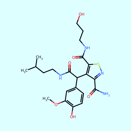 COc1cc(C(C(=O)NCCC(C)C)c2c(C(N)=O)nsc2C(=O)NCCCO)ccc1O